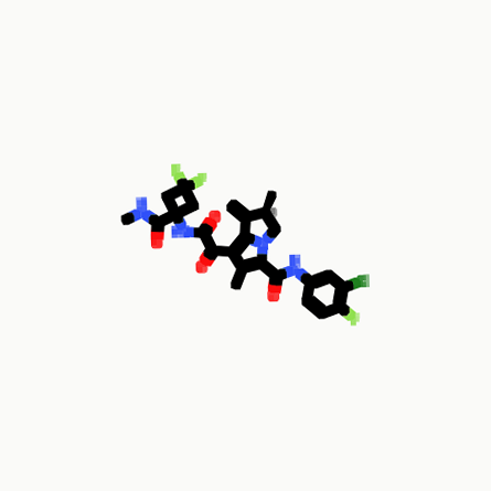 C=C1c2c(C(=O)C(=O)NC3(C(=O)NC)CC(F)(F)C3)c(C)c(C(=O)Nc3ccc(F)c(Cl)c3)n2C[C@@H]1C